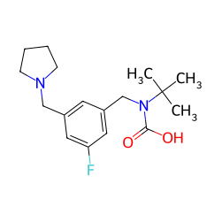 CC(C)(C)N(Cc1cc(F)cc(CN2CCCC2)c1)C(=O)O